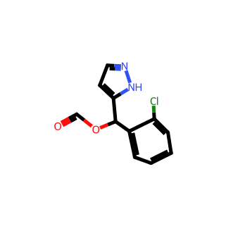 O=COC(c1ccn[nH]1)c1ccccc1Cl